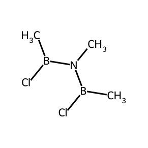 CB(Cl)N(C)B(C)Cl